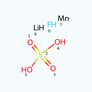 F.O=S(=O)(O)O.[LiH].[Mn]